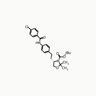 CC(C)(C)OC(=O)N1[C@@H](CCc2ccc(NC(=O)c3ccc(Cl)cc3)cc2)COC1(C)C